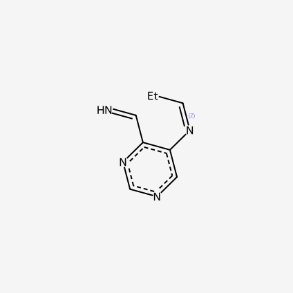 CC/C=N\c1cncnc1C=N